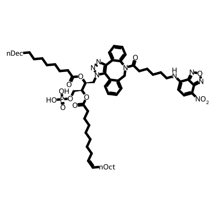 CCCCCCCC/C=C\CCCCCCCC(=O)O[C@@H](COP(=O)(O)O)[C@H](Cn1nnc2c1-c1ccccc1CN(C(=O)CCCCCNc1ccc([N+](=O)[O-])c3nonc13)c1ccccc1-2)OC(=O)CCCCCCCCCCCCCCCCC